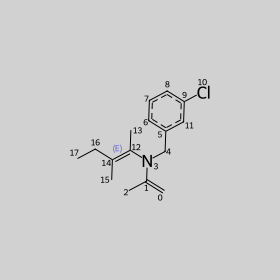 C=C(C)N(Cc1cccc(Cl)c1)/C(C)=C(\C)CC